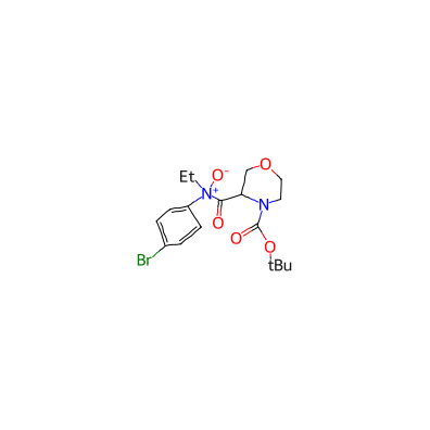 CC[N+]([O-])(C(=O)C1COCCN1C(=O)OC(C)(C)C)c1ccc(Br)cc1